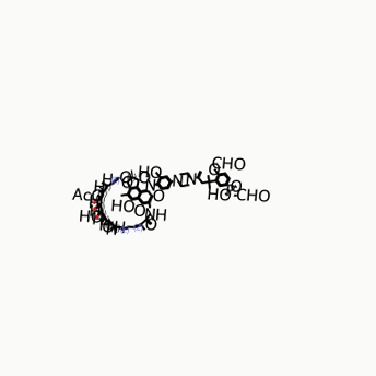 C=C(CC(C)(C)c1cc(P(=O)(O)CC=O)ccc1OC=O)N1CCN(c2cc(O)c3nc4c5c6c7c(C)c(O)c5c(=O)c(c-4oc3c2)NC(=O)/C(C)=C\C=C\[C@H](C)[C@H](O)[C@@H](C)[C@@H](O)[C@@H](C)[C@H](OC(C)=O)[C@H](C)[C@@H](C)/C=C/O[C@@](C)(O7)C6=O)CC1